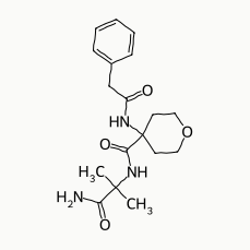 CC(C)(NC(=O)C1(NC(=O)Cc2ccccc2)CCOCC1)C(N)=O